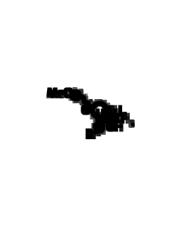 COc1ccc(CCCC(=O)C2CCCCC(C)C3C[C@](CO)(CN(C)C)[C@H](c4ccc(Br)cc4)[C@@H]3CCC2)cc1